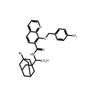 O=C(NC(C(=O)O)C12CC3CC(CC(Br)(C3)C1)C2)c1ccc2cccnc2c1OCc1ccc(C(F)(F)F)cc1